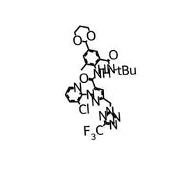 Cc1cc(C2OCCCO2)cc(C(=O)NC(C)(C)C)c1NC(=O)c1cc(Cn2nnc(C(F)(F)F)n2)nn1-c1ncccc1Cl